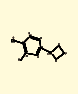 CCc1ncc(N2CCC2)cc1C